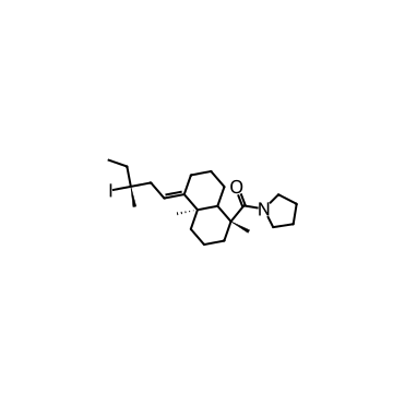 CC[C@@](C)(I)C/C=C1\CCCC2[C@](C)(C(=O)N3CCCC3)CCC[C@@]12C